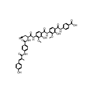 COc1c(NC(=O)c2ccc(NC(=O)C(CC#N)NC(=O)c3ccc(NC(=O)/C(C)=C/c4ccc(O)cc4)cc3)c(OC)c2O)ccc(C(=O)Nc2ccc(C(=O)O)cc2)c1O